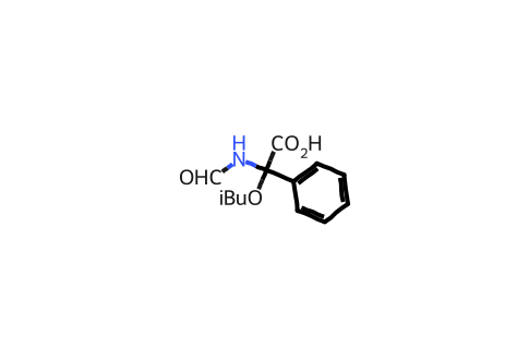 CC(C)COC(NC=O)(C(=O)O)c1ccccc1